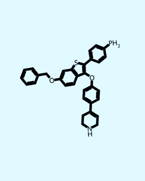 Pc1ccc(-c2sc3cc(OCc4ccccc4)ccc3c2Oc2ccc(C3=CCNCC3)cc2)cc1